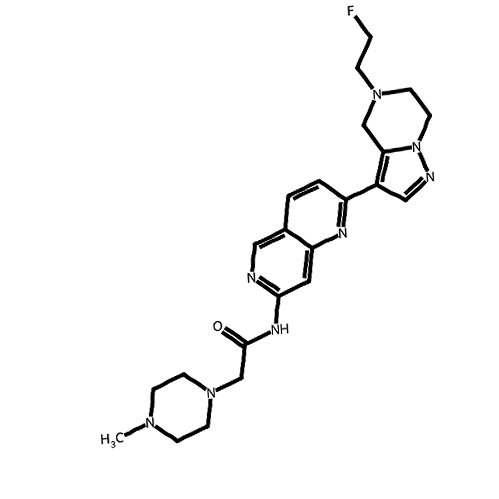 CN1CCN(CC(=O)Nc2cc3nc(-c4cnn5c4CN(CCF)CC5)ccc3cn2)CC1